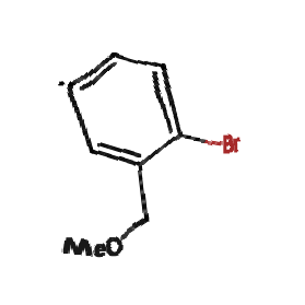 COCc1c[c]ccc1Br